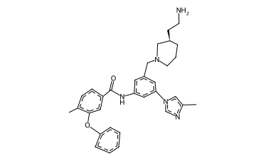 Cc1cn(-c2cc(CN3CCC[C@H](CCN)C3)cc(NC(=O)c3ccc(C)c(Oc4ccccc4)c3)c2)cn1